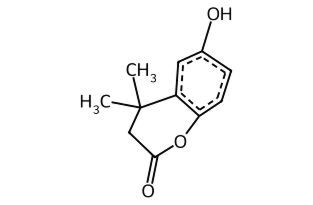 CC1(C)CC(=O)Oc2ccc(O)cc21